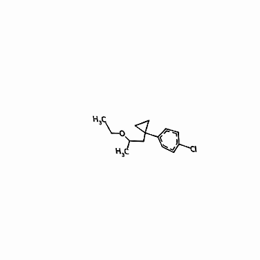 CCOC(C)CC1(c2ccc(Cl)cc2)CC1